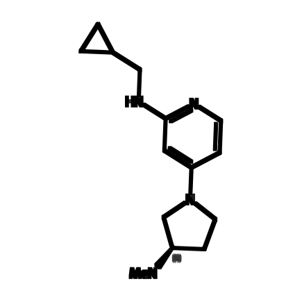 CN[C@@H]1CCN(c2ccnc(NCC3CC3)c2)C1